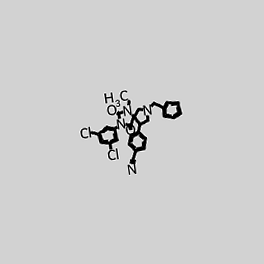 CCN1C(=O)N(c2cc(Cl)cc(Cl)c2)C(=O)C12CN(Cc1ccccc1)CC2c1ccc(C#N)cc1